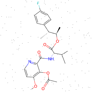 COc1ccnc(C(=O)N[C@H](C(=O)O[C@H](C)[C@H](C)c2ccc(F)cc2)C(C)C)c1OC(C)=O